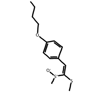 CCCCOc1ccc(C=C(SC)[S+](C)[O-])cc1